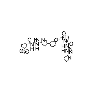 CS(=O)(=O)c1cccc(C(=O)Nc2nnc(-c3ccc(-c4cccc(OCCn5nc(C(=O)Nc6nnc(-c7ccccn7)[nH]6)ccc5=O)c4)cn3)[nH]2)c1